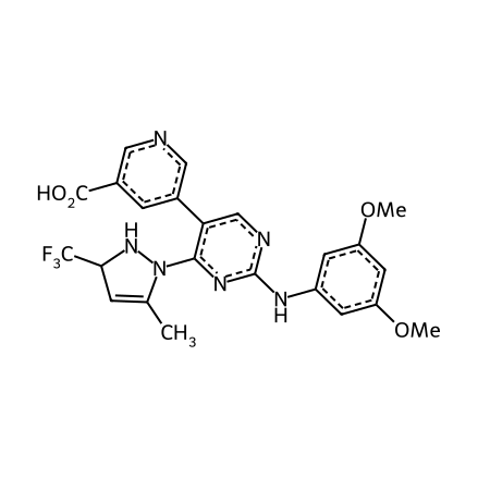 COc1cc(Nc2ncc(-c3cncc(C(=O)O)c3)c(N3NC(C(F)(F)F)C=C3C)n2)cc(OC)c1